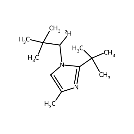 [2H]C(n1cc(C)nc1C(C)(C)C)C(C)(C)C